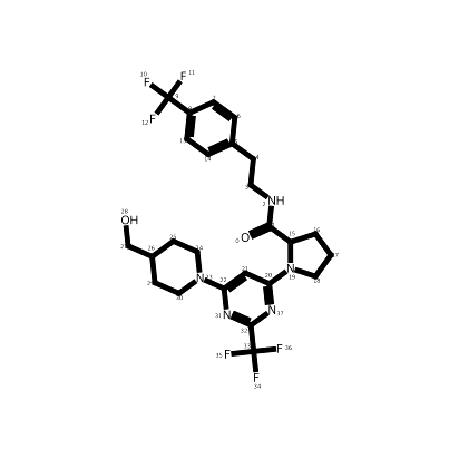 O=C(NCCc1ccc(C(F)(F)F)cc1)C1CCCN1c1cc(N2CCC(CO)CC2)nc(C(F)(F)F)n1